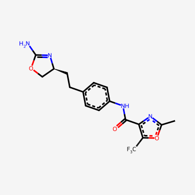 Cc1nc(C(=O)Nc2ccc(CC[C@H]3COC(N)=N3)cc2)c(C(F)(F)F)o1